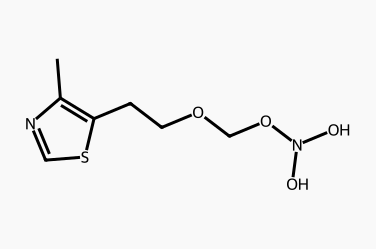 Cc1ncsc1CCOCON(O)O